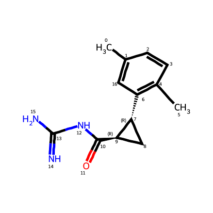 Cc1ccc(C)c([C@@H]2C[C@H]2C(=O)NC(=N)N)c1